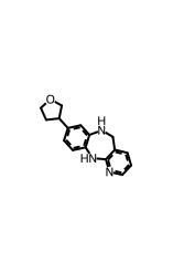 c1cnc2c(c1)CNc1cc(C3CCOC3)ccc1N2